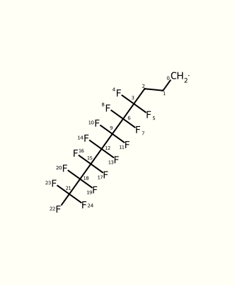 [CH2]CCC(F)(F)C(F)(F)C(F)(F)C(F)(F)C(F)(F)C(F)(F)C(F)(F)F